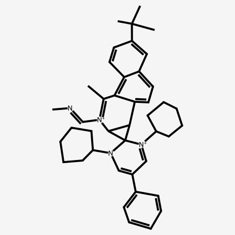 CN=C[N+]1=C(C)c2c(ccc3cc(C(C)(C)C)ccc23)C2C1C21N(C2CCCCC2)C=C(c2ccccc2)C=[N+]1C1CCCCC1